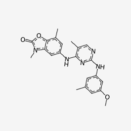 COc1cc(C)cc(Nc2ncc(C)c(Nc3cc(C)c4oc(=O)n(C)c4c3)n2)c1